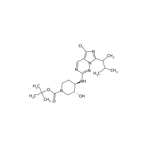 CC(C)C(C)c1nc(Cl)c2cnc(N[C@@H]3CCN(C(=O)OC(C)(C)C)C[C@H]3O)nn12